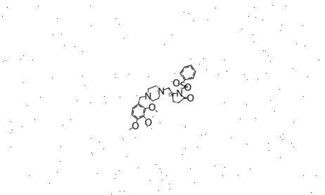 COc1ccc(CN2CCN(C[C@@H]3CCC(=O)N3S(=O)(=O)c3ccccc3)CC2)c(OC)c1OC